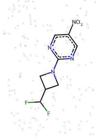 O=[N+]([O-])c1cnc(N2CC(C(F)F)C2)nc1